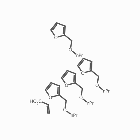 C=CC(=O)O.CCCOCc1ccco1.CCCOCc1ccco1.CCCOCc1ccco1.CCCOCc1ccco1